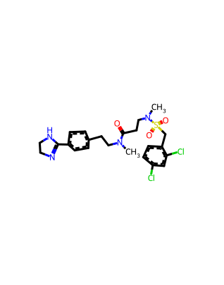 CN(CCc1ccc(C2=NCCN2)cc1)C(=O)CCN(C)S(=O)(=O)Cc1ccc(Cl)cc1Cl